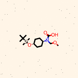 COCN(C(=O)O)[C@H]1CC[C@H](O[Si](C)(C)C(C)(C)C)CC1